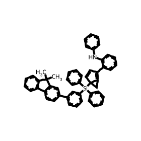 CC1(C)c2ccccc2-c2ccc(-c3cccc([Si](c4ccccc4)(c4ccccc4)C45C=CC(c6ccccc6Nc6ccccc6)=C4C5)c3)cc21